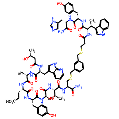 CCC[C@H](NC(=O)[C@H](Cc1c[nH]c2ncccc12)NC(=O)C[C@@H](C)O)C(=O)N[C@@H](CCC(=O)O)C(=O)N[C@@H](Cc1ccc(O)cc1)C(=O)N[C@@H](CCC)C(=O)N[C@H](C(=O)N[C@@H](CSCc1cccc(CSCCC(=O)N[C@H](C(=O)N[C@@H](Cc2ccc(O)cc2)C(=O)N[C@@H](Cc2cnc[nH]2)C(N)=O)[C@@H](C)c2c[nH]c3ccccc23)c1)C(N)=O)[C@@H](C)O